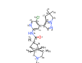 CC(=O)N1C[C@@H]2C3[C@@H](C(=O)Nc4cc(-c5cnn6c5CC(C)(C)C6)c(Cl)cn4)C[C@@H]2[C@H]3C1